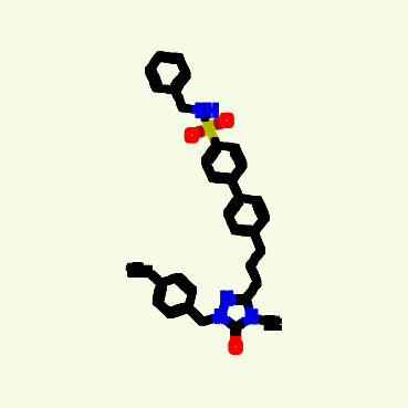 CCn1c(CCCc2ccc(-c3ccc(S(=O)(=O)NCc4ccccc4)cc3)cc2)nn(Cc2ccc(C(C)(C)C)cc2)c1=O